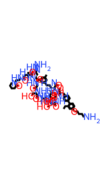 CCc1cc(OCCCCN)ccc1-c1ccc(C[C@H](NC(=O)[C@H](CC(=O)O)NC(=O)[C@H](CO)NC(=O)[C@@H](NC(=O)[C@@H](C)NC(=O)[C@@H](NC(=O)CNC(=O)[C@H](C/C(N)=N/NN)NC(=O)C(C)(C)CC(=O)NCCN2CCCCC2=O)[C@@H](C)O)[C@@H](C)O)C(=O)N[C@@H](CCCc2cc(C)cc(C)c2)C(N)=O)cc1